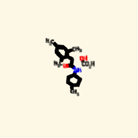 Cc1cc(C)c(CC(=O)NC2CCC(C)CC2)c(C)c1.O=C(O)O